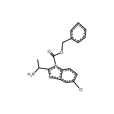 CC(N)c1nc2cc(Cl)ccc2n1C(=O)OCc1ccccc1